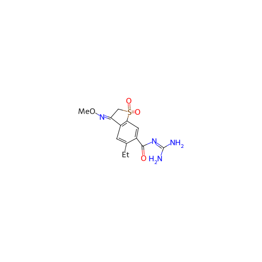 CCc1cc2c(cc1C(=O)N=C(N)N)S(=O)(=O)CC2=NOC